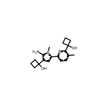 Cc1ccc(-c2cc(C3(O)CCC3)c(N)n2C)nc1C1(O)CCC1